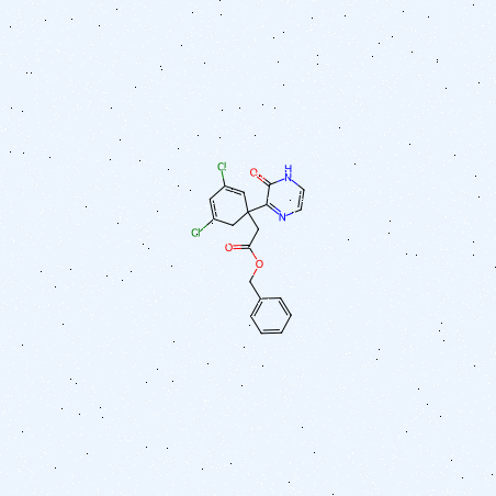 O=C(CC1(c2ncc[nH]c2=O)C=C(Cl)C=C(Cl)C1)OCc1ccccc1